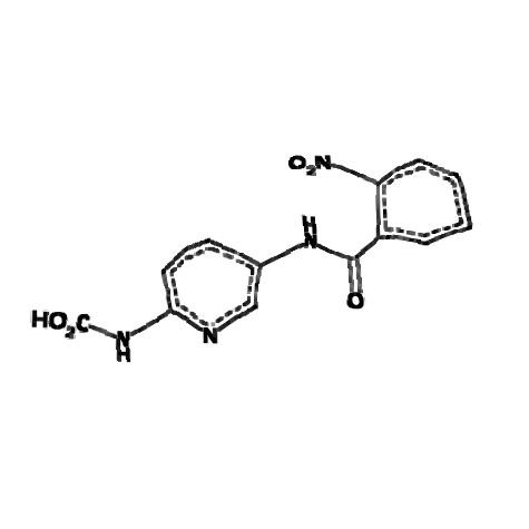 O=C(O)Nc1ccc(NC(=O)c2ccccc2[N+](=O)[O-])cn1